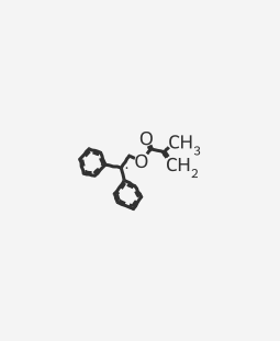 C=C(C)C(=O)OC[C](c1ccccc1)c1ccccc1